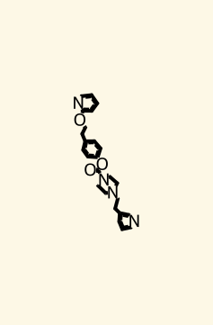 O=C(Oc1ccc(CCOc2ccccn2)cc1)N1CCN(CCc2cccnc2)CC1